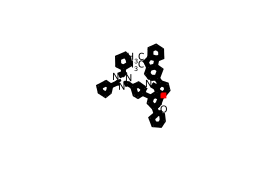 CC1(C)c2ccccc2-c2cc3c4ccccc4n(-c4cc(-c5nc(-c6ccccc6)nc(-c6ccccc6)n5)ccc4-c4ccc5oc6ccccc6c5c4)c3cc21